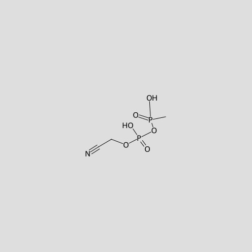 CP(=O)(O)OP(=O)(O)OCC#N